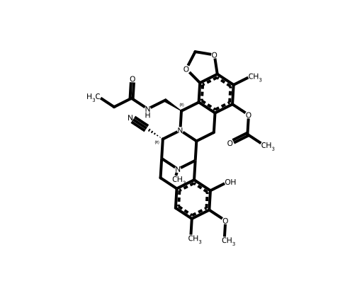 CCC(=O)NC[C@H]1c2c(c(OC(C)=O)c(C)c3c2OCO3)CC2C3c4c(cc(C)c(OC)c4O)CC([C@H](C#N)N21)N3C